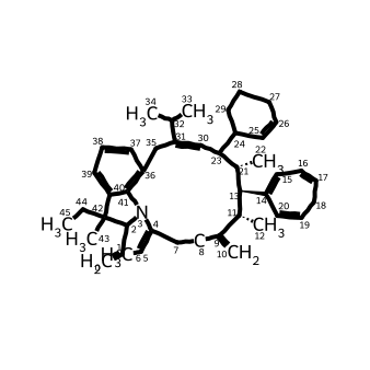 C=CC1N2/C(=C\C)CCC(=C)[C@@H](C)[C@H](C3=CC=CCC=C3)[C@@H](C)C(C3C=CCCC3)/C=C(/C(C)C)Cc3cccc(c32)C1(C)CC